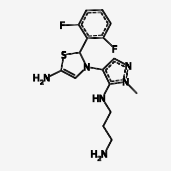 Cn1ncc(N2C=C(N)SC2c2c(F)cccc2F)c1NCCCN